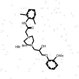 Br.Br.COc1ccccc1OCC(O)CN1CCN(CC(=O)Nc2c(C)cccc2C)CC1